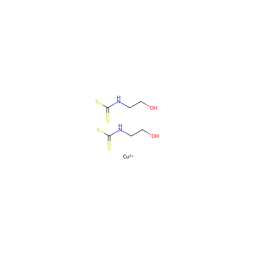 OCCNC(=S)[S-].OCCNC(=S)[S-].[Cu+2]